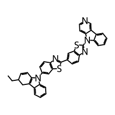 CCC1C=Cc2c(c3ccccc3n2-c2ccc3nc(-c4ccc5nc(-n6c7ccccc7c7cnccc76)sc5c4)sc3c2)C1